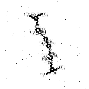 CCCCc1cc(CCC(=O)OC2CC(C)(C)N(CC(O)COc3ccc(C(C)(C)c4ccc(OCC(O)CN5C(C)(C)CC(OC(=O)CCc6cc(CCCC)c(O)c(CCCC)c6)CC5(C)C)cc4)cc3)C(C)(C)C2)cc(CCCC)c1O